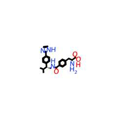 CC(C)[C@@H](CNC(=O)c1ccc(C[C@H](N)C(=O)O)cc1)c1ccc(-c2ncc[nH]2)cc1